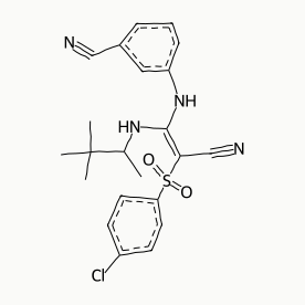 CC(N/C(Nc1cccc(C#N)c1)=C(/C#N)S(=O)(=O)c1ccc(Cl)cc1)C(C)(C)C